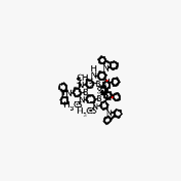 CSN1c2cc3c(cc2B2c4cc5c(cc4N(SC)c4cc(-n6c7ccccc7c7ccccc76)cc1c42)N(SC)c1cc(-n2c4ccccc4c4ccccc42)cc2c1B5c1sc4ccccc4c1N2c1ccccc1)B1c2sc4ccccc4c2N(c2ccccc2)c2cc(-n4c5ccccc5c5ccccc54)cc(c21)N3